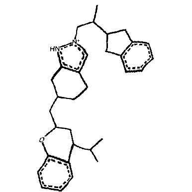 CC(C)C1CC(CC2CCc3c[n+](CC(C)C4Cc5ccccc5C4)[nH]c3C2)Oc2ccccc21